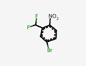 O=[N+]([O-])c1ccc(Br)cc1C(F)F